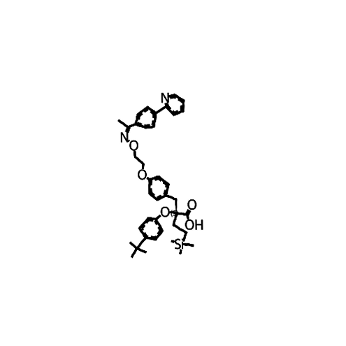 CC(=NOCCOc1ccc(C[C@@](CC[Si](C)(C)C)(Oc2ccc(C(C)(C)C)cc2)C(=O)O)cc1)c1ccc(-c2ccccn2)cc1